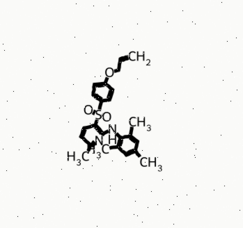 C=CCOc1ccc(S(=O)(=O)c2ccc(C)nc2Nc2c(C)cc(C)cc2C)cc1